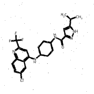 CC(C)c1cc(C(=O)NC2CCC(Nc3cc(C(F)(F)F)nc4ccc(Cl)cc34)CC2)n[nH]1